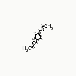 C=COCC1=CCC(COC=C)C=C1